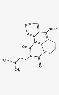 CC(=O)Nc1c2ccccc2c2c3c(cccc13)C(=O)N(CCN(C)C)C2=O